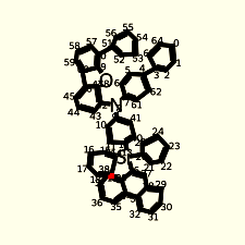 c1ccc(-c2ccc(N(c3ccc([Si](c4ccccc4)(c4ccccc4)c4cc5ccccc5c5ccccc45)cc3)c3cccc4c3oc3c(-c5ccccc5)cccc34)cc2)cc1